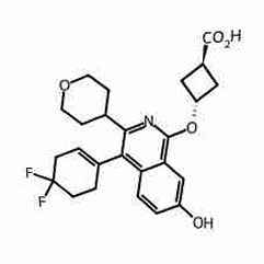 O=C(O)[C@H]1C[C@H](Oc2nc(C3CCOCC3)c(C3=CCC(F)(F)CC3)c3ccc(O)cc23)C1